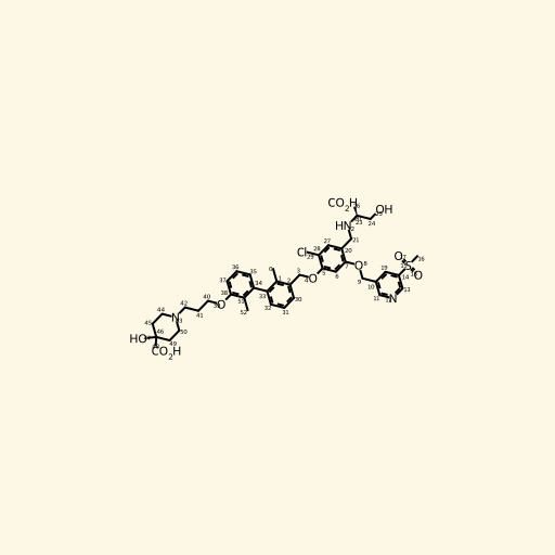 Cc1c(COc2cc(OCc3cncc(S(C)(=O)=O)c3)c(CN[C@H](CO)C(=O)O)cc2Cl)cccc1-c1cccc(OCCCN2CCC(O)(C(=O)O)CC2)c1C